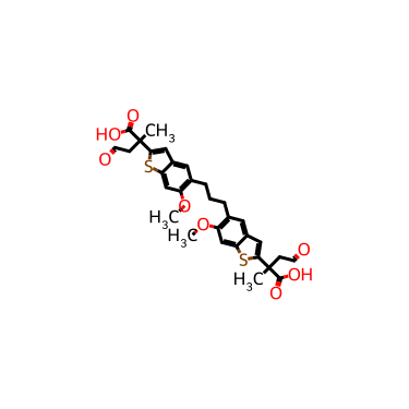 COc1cc2sc(C(C)(CC=O)C(=O)O)cc2cc1CCCc1cc2cc(C(C)(CC=O)C(=O)O)sc2cc1OC